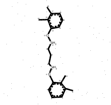 Cc1cccc(O[SiH2]CCC[SiH2]Oc2cccc(C)c2C)c1C